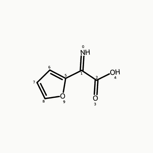 N=C(C(=O)O)c1ccco1